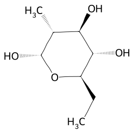 CC[C@H]1O[C@H](O)[C@H](C)[C@@H](O)[C@@H]1O